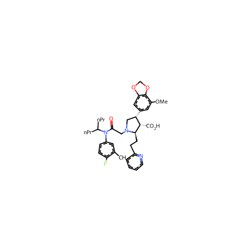 CCCC(CCC)N(C(=O)CN1C[C@H](c2cc(OC)c3c(c2)OCO3)[C@H](C(=O)O)[C@H]1CCc1ccccn1)c1ccc(F)c(C)c1